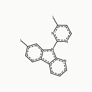 Ic1ccc2c3cccnc3n(-c3nccc(I)n3)c2c1